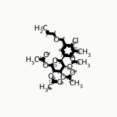 C=CCOCc1cc([C@@H]2OC(OC(C)=O)[C@@H](OC(C)=O)[C@H](OC(C)=O)[C@H]2OC(C)=O)cc(C)c1Cl